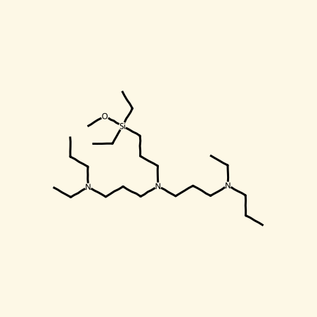 CCCN(CC)CCCN(CCCN(CC)CCC)CCC[Si](CC)(CC)OC